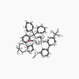 COc1cc(-c2ncc(C(F)(F)F)nc2NC(=O)N(C(c2ccccc2)(c2ccccc2)c2ccccc2)S(=N)(=O)c2cnn3c2OCC(C)(C)C3)ccn1